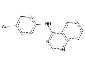 CC(=O)c1ccc(Nc2ncnc3ccccc23)cc1